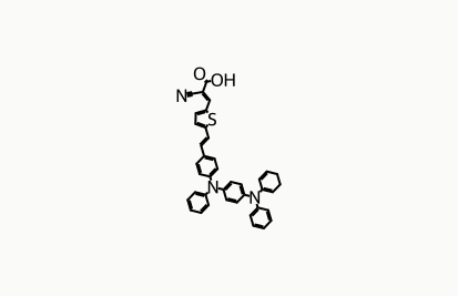 N#C/C(=C\c1ccc(/C=C/c2ccc(N(c3ccccc3)c3ccc(N(C4=CCCC=C4)c4ccccc4)cc3)cc2)s1)C(=O)O